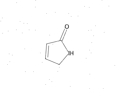 O=C1C=CC[IH]1